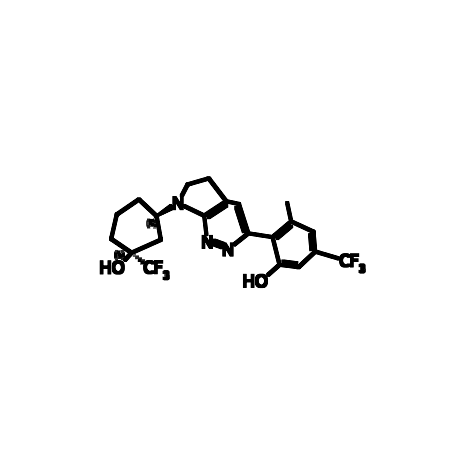 Cc1cc(C(F)(F)F)cc(O)c1-c1cc2c(nn1)N([C@@H]1CCC[C@@](O)(C(F)(F)F)C1)CC2